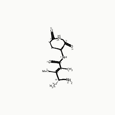 CO/C(=C(/C)C(=O)NC1CCC(=O)NC1=O)[C@@H](C)N